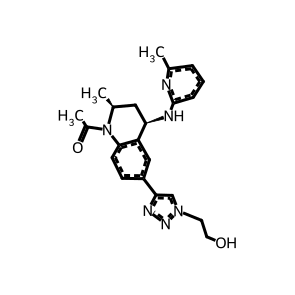 CC(=O)N1c2ccc(-c3cn(CCO)nn3)cc2[C@H](Nc2cccc(C)n2)C[C@@H]1C